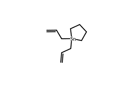 C=C[CH2][Sn]1([CH2]C=C)[CH2]CC[CH2]1